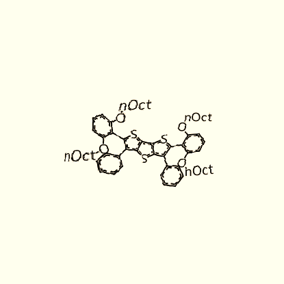 CCCCCCCCOc1cccc(OCCCCCCCC)c1-c1sc2c(sc3c(-c4ccccc4)c(-c4c(OCCCCCCCC)cccc4OCCCCCCCC)sc32)c1-c1ccccc1